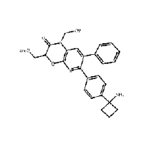 COCC1Oc2nc(-c3ccc(C4(N)CCC4)cc3)c(-c3ccccc3)cc2N(CC#N)C1=O